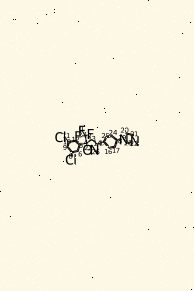 FC(F)(F)C1(c2cc(Cl)cc(Cl)c2)CC(c2ccc(-n3ccnc3)cc2)=NO1